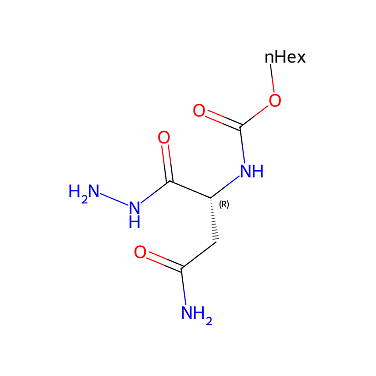 CCCCCCOC(=O)N[C@H](CC(N)=O)C(=O)NN